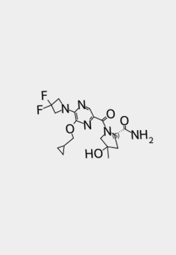 CC1(O)C[C@@H](C(N)=O)N(C(=O)c2cnc(N3CC(F)(F)C3)c(OCC3CC3)n2)C1